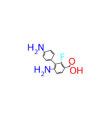 Nc1ccc(-c2c(N)ccc(C(=O)O)c2F)cc1